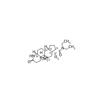 CCN(CC)C(=O)[C@H]1CC[C@H]2[C@@H]3CC[C@H]4NC(=O)CC[C@]4(C)C3(C)CC[C@]12C